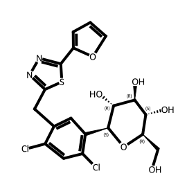 OC[C@H]1O[C@@H](c2cc(Cc3nnc(-c4ccco4)s3)c(Cl)cc2Cl)[C@H](O)[C@@H](O)[C@@H]1O